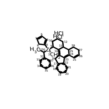 Cl.Cl.[CH2]=[Zr]([C]1=CC=CC1)([CH]1CCCC2C1=C1Cc3ccccc3C1=C1C=CCCC12)[CH](C)c1ccccc1